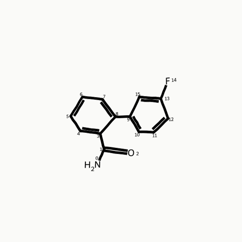 NC(=O)c1ccccc1-c1cccc(F)c1